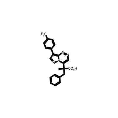 CC(Cc1ccccc1)(C(=O)O)c1cnnc2c(-c3ccc(C(F)(F)F)cc3)cnn12